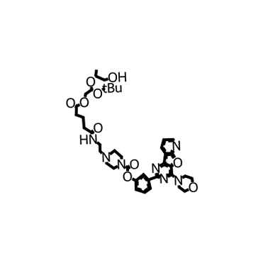 CC(CO)OC(COC(=O)CCCC(=O)NCCN1CCN(C(=O)Oc2cccc(-c3nc(N4CCOCC4)c4oc5ncccc5c4n3)c2)CC1)OC(C)(C)C